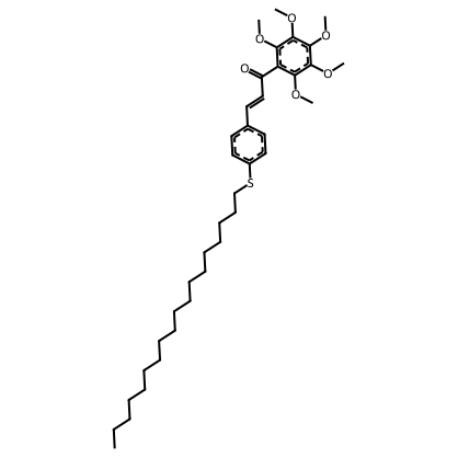 CCCCCCCCCCCCCCCCCCSc1ccc(C=CC(=O)c2c(OC)c(OC)c(OC)c(OC)c2OC)cc1